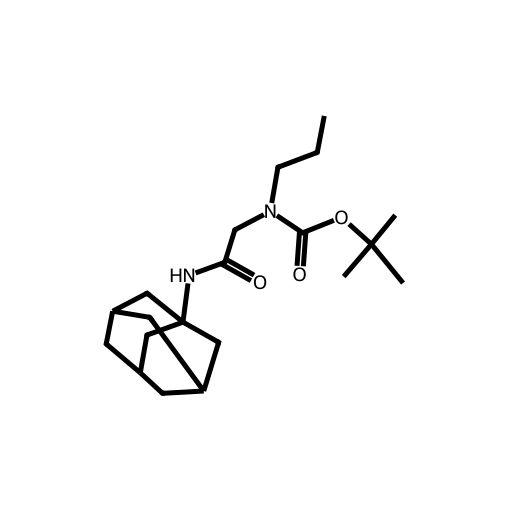 CCCN(CC(=O)NC12CC3CC(CC(C3)C1)C2)C(=O)OC(C)(C)C